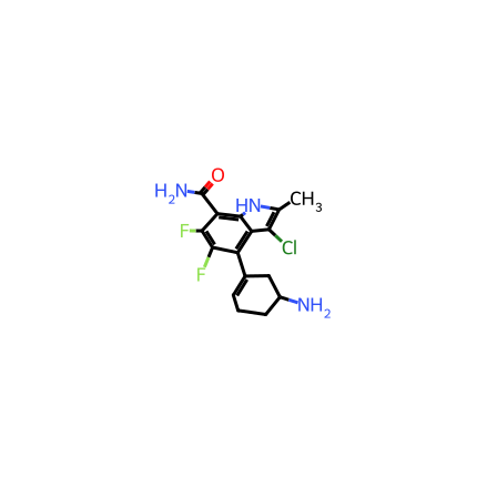 Cc1[nH]c2c(C(N)=O)c(F)c(F)c(C3=CCCC(N)C3)c2c1Cl